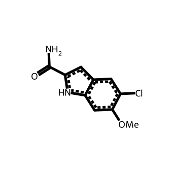 COc1cc2[nH]c(C(N)=O)cc2cc1Cl